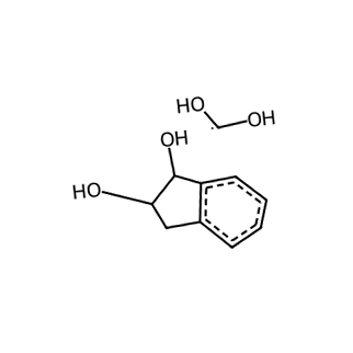 OC1Cc2ccccc2C1O.O[CH]O